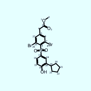 COC(=O)Cc1cc(Br)c(S(=O)(=O)c2ccc(O)c(C3CCCC3)c2)c(Br)c1